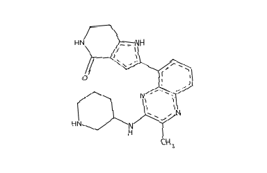 Cc1nc2cccc(-c3cc4c([nH]3)CCNC4=O)c2nc1NC1CCCNC1